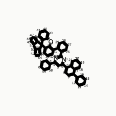 c1ccc(-c2cc(-c3ccc(-c4ccccc4)c4ccccc34)nc(-c3ccccc3-c3cccc4c3Oc3ccccc3C43c4ccccc4-c4ccccc43)n2)cc1